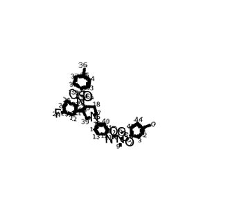 Cc1ccc(S(=O)(=O)N(C)c2nc3ccc(N4CCc5c(c6cc(F)ccc6n5S(=O)(=O)c5ccc(C)cc5)C4)cc3o2)cc1